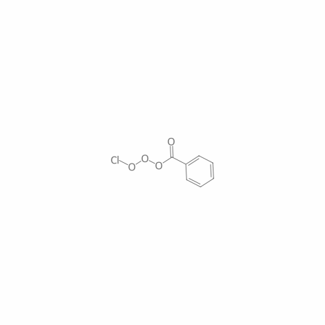 O=C(OOOCl)c1ccccc1